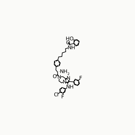 N[C@@H](Cc1ccc(CCCCCNC(=O)c2ccccc2O)cc1)C(=O)N1CCn2c(nc(-c3cccc(F)c3)c2Nc2ccc(Cl)c(F)c2)C1